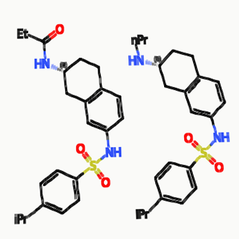 CCC(=O)N[C@@H]1CCc2ccc(NS(=O)(=O)c3ccc(C(C)C)cc3)cc2C1.CCCN[C@@H]1CCc2ccc(NS(=O)(=O)c3ccc(C(C)C)cc3)cc2C1